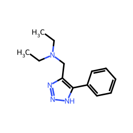 CCN(CC)Cc1nn[nH]c1-c1ccccc1